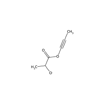 CC#COC(=O)C(C)[O]